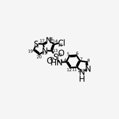 O=S(=O)(Nc1ccc2cn[nH]c2c1)c1c(Cl)nc2sccn12